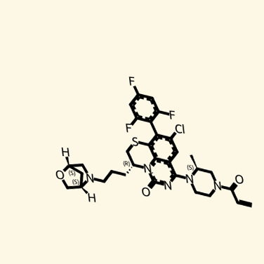 C=CC(=O)N1CCN(c2nc(=O)n3c4c(c(-c5c(F)cc(F)cc5F)c(Cl)cc24)SC[C@H]3CCCN2C[C@@H]3C[C@H]2CO3)[C@@H](C)C1